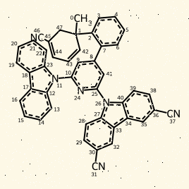 CC1(c2ccccc2-c2cc(-n3c4ccccc4c4ccccc43)nc(-n3c4ccc(C#N)cc4c4cc(C#N)ccc43)c2)C=CC=C(C#N)C1